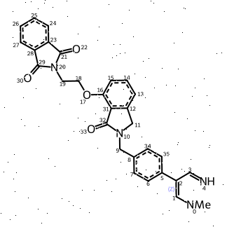 CN/C=C(\C=N)c1ccc(CN2Cc3cccc(OCCN4C(=O)c5ccccc5C4=O)c3C2=O)cc1